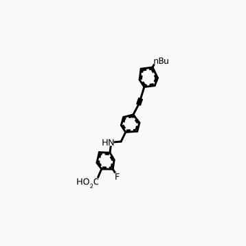 CCCCc1ccc(C#Cc2ccc(CNc3ccc(C(=O)O)c(F)c3)cc2)cc1